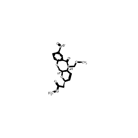 COCN1C(=O)c2cc([N+](=O)[O-])ccc2OC[C@@H]2O[C@H](CC(=O)OC)C=C[C@@H]21